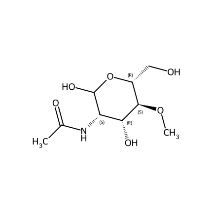 CO[C@H]1[C@H](O)[C@H](NC(C)=O)C(O)O[C@@H]1CO